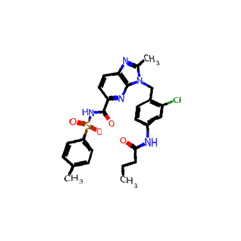 CCCC(=O)Nc1ccc(Cn2c(C)nc3ccc(C(=O)NS(=O)(=O)c4ccc(C)cc4)nc32)c(Cl)c1